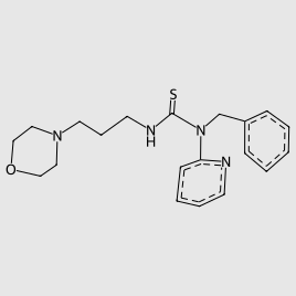 S=C(NCCCN1CCOCC1)N(Cc1ccccc1)c1ccccn1